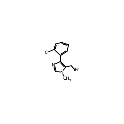 CC(C)Cc1c(-c2ccccc2Cl)ncn1C